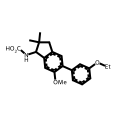 CCOc1cccc(-c2cc3c(cc2OC)C(NC(=O)O)C(C)(C)C3)c1